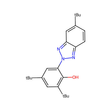 CC(C)(C)c1cc(-n2nc3ccc(C(C)(C)C)cc3n2)c(O)c(C(C)(C)C)c1